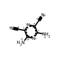 N#Cc1nc(C#N)c(N)nc1N